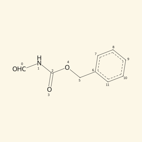 O=CNC(=O)OCc1ccccc1